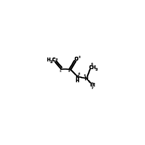 C=CC(=O)NN(C)CC